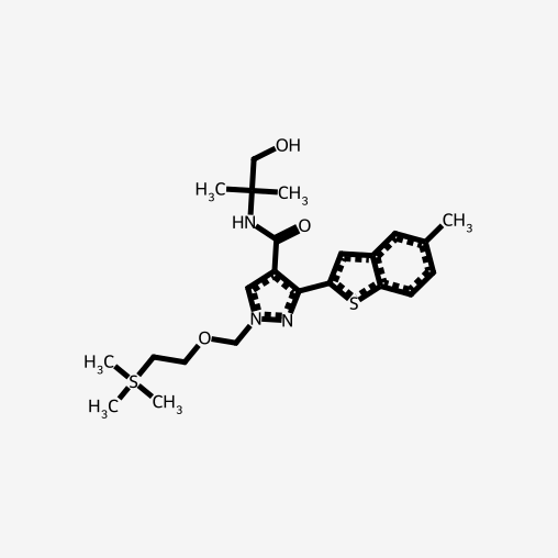 Cc1ccc2sc(-c3nn(COCCS(C)(C)C)cc3C(=O)NC(C)(C)CO)cc2c1